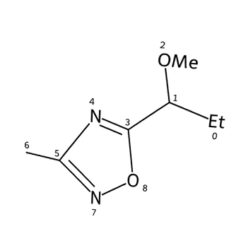 CCC(OC)c1nc(C)no1